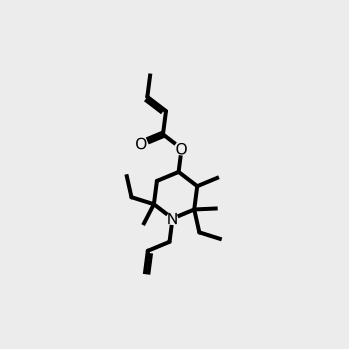 C=CCN1C(C)(CC)CC(OC(=O)C=CC)C(C)C1(C)CC